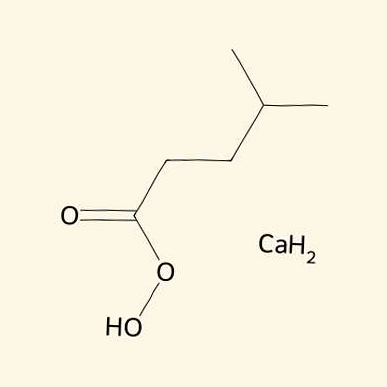 CC(C)CCC(=O)OO.[CaH2]